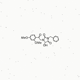 COc1ccc(C(=O)CN2C(=O)N(Cc3ccccc3)C(=O)C2O)c(OC)c1